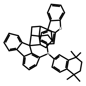 CC1(C)CCC(C)(C)c2cc(N(c3ccc4c(c3)oc3ccccc34)c3cccc4c3C3(c5ccccc5-4)C4CC5CC6CC3C64C5)ccc21